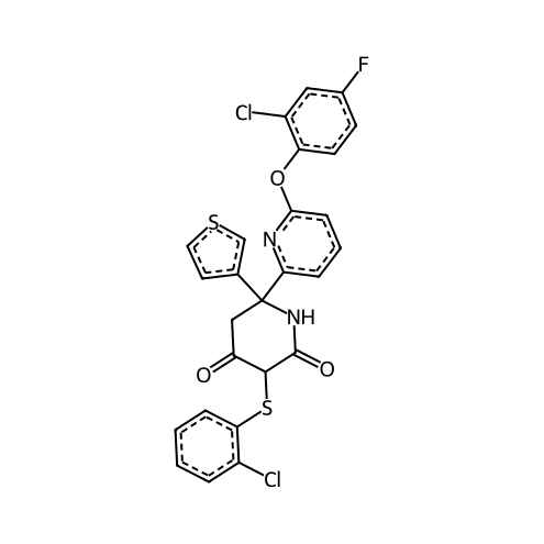 O=C1CC(c2ccsc2)(c2cccc(Oc3ccc(F)cc3Cl)n2)NC(=O)C1Sc1ccccc1Cl